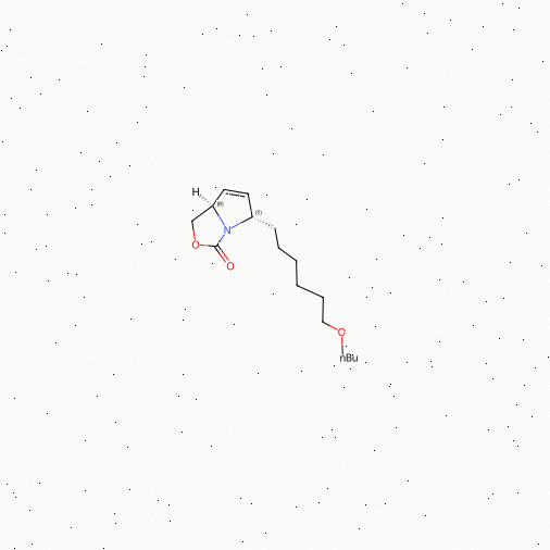 CCCCOCCCCCC[C@H]1C=C[C@@H]2COC(=O)N12